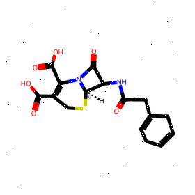 O=C(CC1=CCC=CC1)NC1C(=O)N2C(C(=O)O)=C(C(=O)O)CS[C@H]12